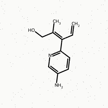 C=CC(=C(C)CO)c1ccc(N)cn1